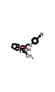 CCCC(=O)N1CC2CCC(C1)C2N(C)CC(O)COc1ccc(C#N)cc1